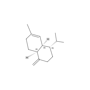 C=C1CC[C@@H](C(C)C)[C@@H]2C=C(C)CC[C@H]12